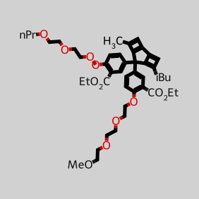 CCCOCCOCCOOc1ccc(C2(c3ccc(OCCOCCOCCOC)c(C(=O)OCC)c3)C3=C(C=C3C)C3=CC(C(C)CC)=C32)cc1C(=O)OCC